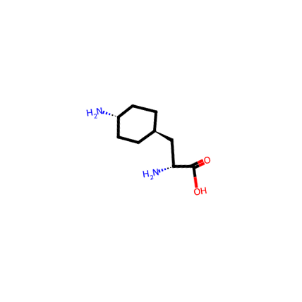 N[C@H](C[C@H]1CC[C@H](N)CC1)C(=O)O